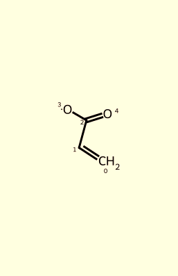 C=CC([O])=O